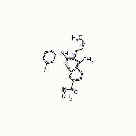 C=c1/c(=C\C=N/C)c(Nc2cccc(Cl)c2)nc2cc(C(=O)NN)ccc12